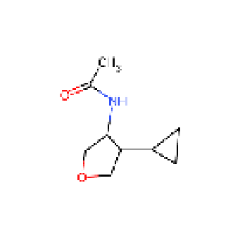 CC(=O)NC1COCC1C1CC1